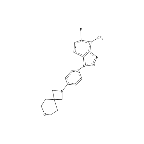 Fc1ccc2c(nnn2-c2ccc(N3CC4(CCOCC4)C3)cc2)c1C(F)(F)F